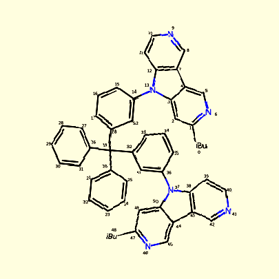 CCC(C)c1cc2c(cn1)c1cnccc1n2-c1cccc(C(c2ccccc2)(c2ccccc2)c2cccc(-n3c4ccncc4c4cnc(C(C)CC)cc43)c2)c1